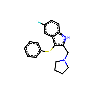 Fc1ccc2[nH]c(CN3CCCC3)c(Sc3ccccc3)c2c1